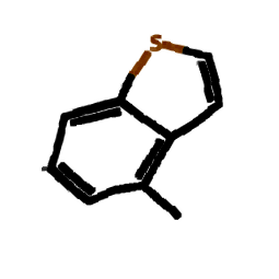 Cc1c[c]cc2sccc12